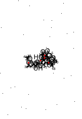 C=CC1OC2CC3OC[C@@]3(OC(C)=O)[C@H]3[C@H](O)C4(C(C)(C)O)C[C@H](OC(=O)[C@H](O)C(CC(C)C)NC(=O)OC(C)(C)C)C(C)=C4[C@H](OC(C)=O)[C@H](O1)C23C